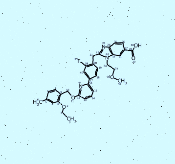 CCOc1cc(C)ccc1COc1cccc(-c2ccc(Cc3nc4ccc(C(=O)O)cc4n3CCOC)c(F)c2)n1